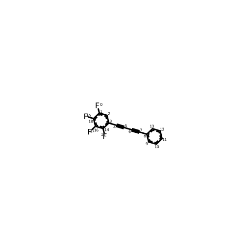 Fc1cc(C#CC#Cc2ccccc2)c(F)c(F)c1F